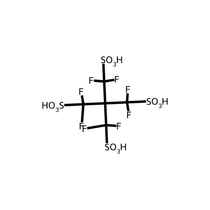 O=S(=O)(O)C(F)(F)C(C(F)(F)S(=O)(=O)O)(C(F)(F)S(=O)(=O)O)C(F)(F)S(=O)(=O)O